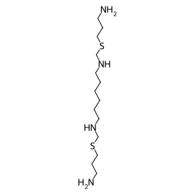 NCCCSCNCCCCCCNCSCCCN